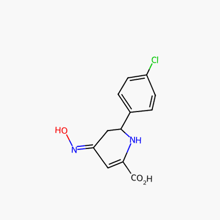 O=C(O)C1=CC(=NO)CC(c2ccc(Cl)cc2)N1